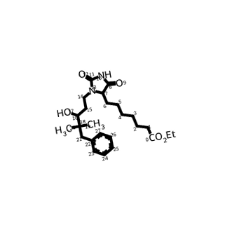 CCOC(=O)CCCCCCC1C(=O)NC(=O)N1CCC(O)C(C)(C)Cc1ccccc1